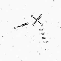 O=P([O-])([O-])[O-].[Na+].[Na+].[Na+].[Na+].[O]=[Al][O-]